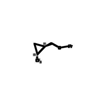 CC(C)OC[C@@H]1C[C@H]1C(F)(F)F